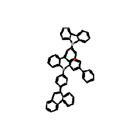 c1ccc(-c2cccc(N(c3ccc(-c4cc5ccccc5c5ccccc45)cc3)c3ccccc3-c3cccc(-n4c5ccccc5c5ccccc54)c3)c2)cc1